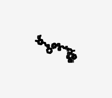 COc1cc(CCO[C@@H]2CCCC[C@H]2N2CC[C@@H](OC(=O)CCSSC[C@@H](C)C(=O)N3CCC[C@H]3C(=O)O)C2)ccc1C